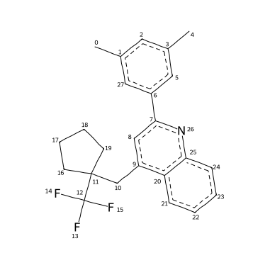 Cc1cc(C)cc(-c2cc(CC3(C(F)(F)F)CCCC3)c3ccccc3n2)c1